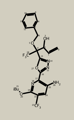 C=CC(O)C(OCc1ccccc1)(c1nnc(-c2nc(O[C@H](C)CC)c(C(F)(F)F)cc2N)o1)C(F)(F)F